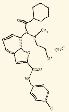 CN(CCO)N(C(=O)C1CCCCC1)c1cccc2cc(C(=O)Nc3ccc(Cl)cn3)oc12.Cl.Cl